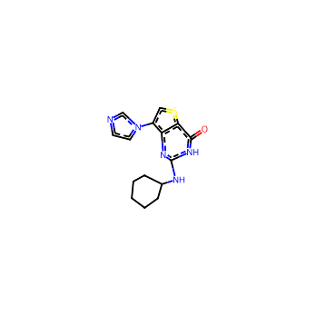 O=c1[nH]c(NC2CCCCC2)nc2c(-n3ccnc3)csc12